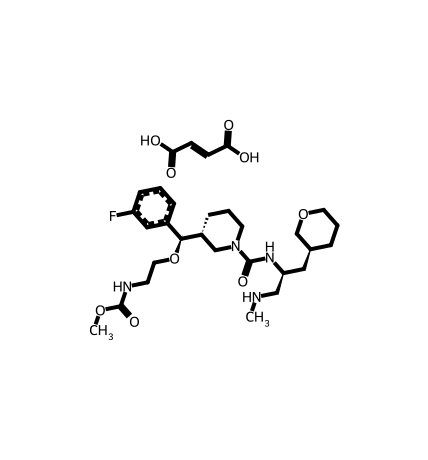 CNC[C@H](C[C@@H]1CCCOC1)NC(=O)N1CCC[C@@H]([C@@H](OCCNC(=O)OC)c2cccc(F)c2)C1.O=C(O)/C=C/C(=O)O